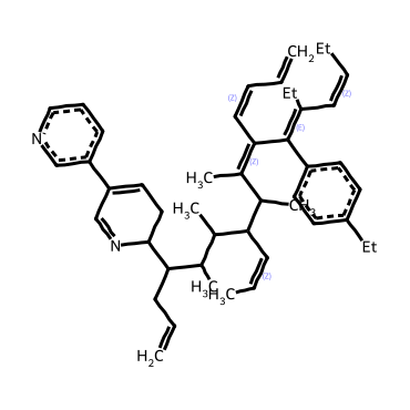 C=C\C=C/C(=C(\C)C(C)C(/C=C\C)C(C)C(C)C(CC=C)C1CC=C(c2cccnc2)C=N1)C(=C(/C=C\CC)CC)/c1ccc(CC)cc1